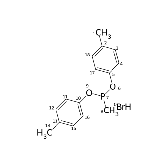 Br.Cc1ccc(OP(C)Oc2ccc(C)cc2)cc1